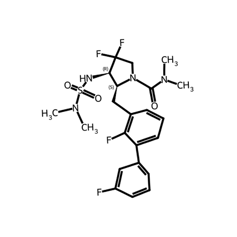 CN(C)C(=O)N1CC(F)(F)[C@H](NS(=O)(=O)N(C)C)[C@@H]1Cc1cccc(-c2cccc(F)c2)c1F